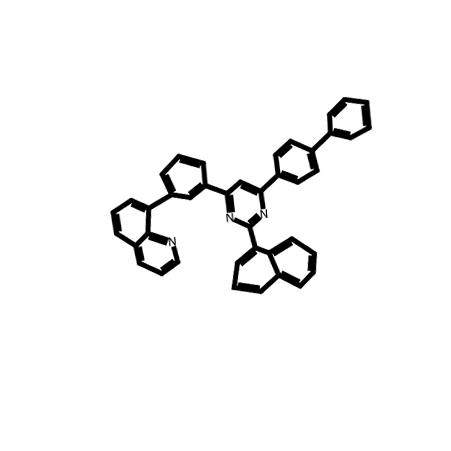 c1ccc(-c2ccc(-c3cc(-c4cccc(-c5cccc6cccnc56)c4)nc(-c4cccc5ccccc45)n3)cc2)cc1